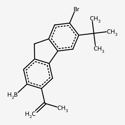 Bc1cc2c(cc1C(=C)C)-c1cc(C(C)(C)C)c(Br)cc1C2